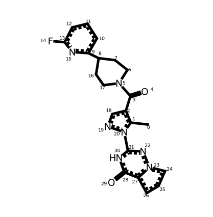 Cc1c(C(=O)N2CCC(c3cccc(F)n3)CC2)cnn1-c1nn2cccc2c(=O)[nH]1